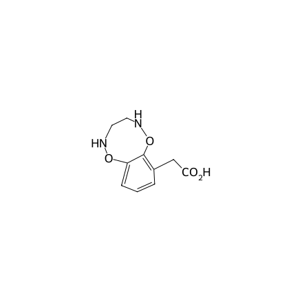 O=C(O)Cc1cccc2c1ONCCNO2